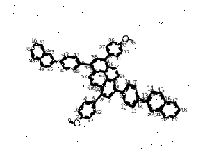 COc1ccc(-c2cc(-c3ccc(-c4ccc5ccccc5c4)cc3)c3ccc4c(-c5ccc(OC)cc5)cc(-c5ccc(-c6ccc7ccccc7c6)cc5)c5ccc2c3c45)cc1